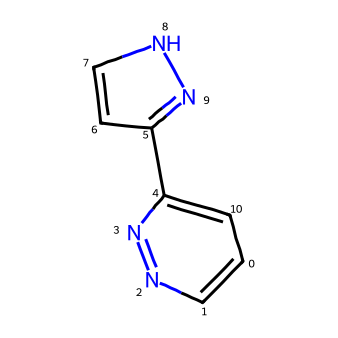 c1cnnc(-c2cc[nH]n2)c1